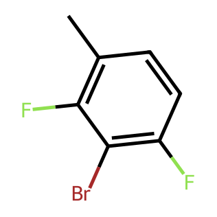 Cc1ccc(F)c(Br)c1F